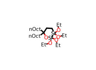 CCCCCCCCC1(CCCCCCCC)CC[Si](OCC)(OCC)[Si](OCC)(OCC)O1